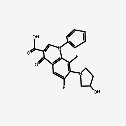 O=C(O)c1cn(-c2ccccc2)c2c(F)c(N3CCC(O)C3)c(F)cc2c1=O